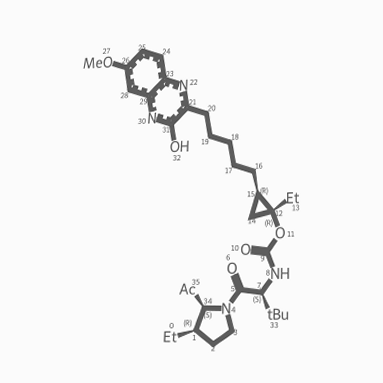 CC[C@@H]1CCN(C(=O)[C@@H](NC(=O)O[C@]2(CC)C[C@H]2CCCCCc2nc3ccc(OC)cc3nc2O)C(C)(C)C)[C@@H]1C(C)=O